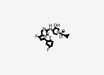 O=S(=O)(C1CC1)N1CC[C@@H](Nc2ncc3c(F)cc(-c4cc(F)ccc4F)n3n2)[C@H](O)C1